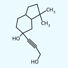 CC1(C)CCC2CCC(O)(C#CCO)CC21